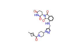 CC12CC(C(=O)N3CCC(n4cc(CNc5cccc6c5C(=O)N(C5CCC(=O)NC5=O)C6=O)cn4)CC3)(C1)C2